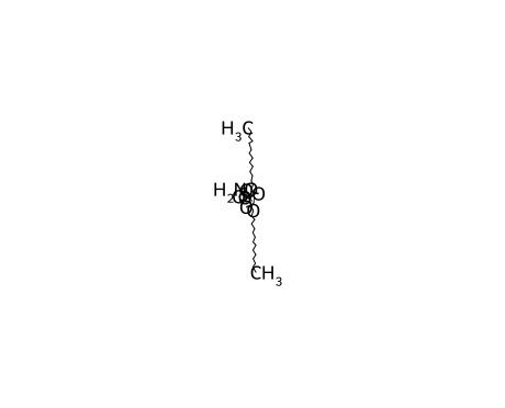 CCCCCCCCCCCCCCOC(=O)C[C@H](OS(N)(=O)=O)C(=O)OCCCCCCCCCCCCCC